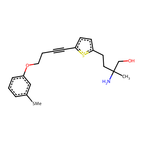 CSc1cccc(OCCC#Cc2ccc(CCC(C)(N)CO)s2)c1